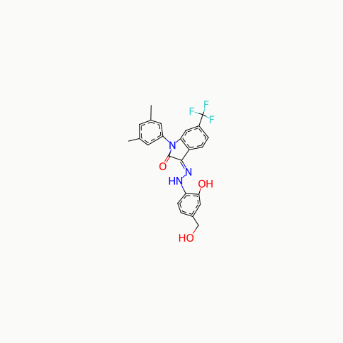 Cc1cc(C)cc(N2C(=O)C(=NNc3ccc(CO)cc3O)c3ccc(C(F)(F)F)cc32)c1